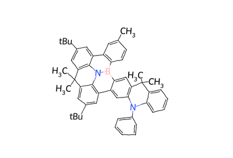 Cc1ccc2c(c1)-c1cc(C(C)(C)C)cc3c1N1B2c2cc4c(cc2-c2cc(C(C)(C)C)cc(c21)C3(C)C)N(c1ccccc1)c1ccccc1C4(C)C